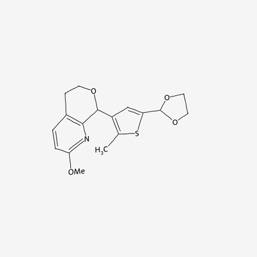 COc1ccc2c(n1)C(c1cc(C3OCCO3)sc1C)OCC2